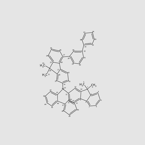 CC1(C)c2ccccc2-c2ccc(N(c3ccc4c(c3)C(C)(C)c3cccc(-c5cccc(-c6ccccc6)c5)c3-4)c3ccccc3-c3ccccc3)cc21